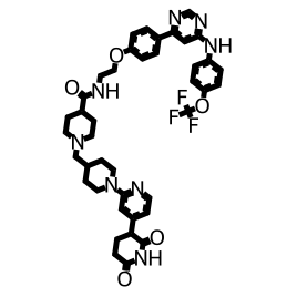 O=C1CCC(c2ccnc(N3CCC(CN4CCC(C(=O)NCCOc5ccc(-c6cc(Nc7ccc(OC(F)(F)F)cc7)ncn6)cc5)CC4)CC3)c2)C(=O)N1